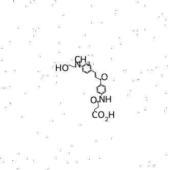 CN(CCO)c1ccc(/C=C/C(=O)c2ccc(NC(=O)CCC(=O)O)cc2)cc1